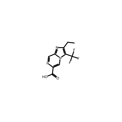 CCc1nc2cnc(C(=O)O)cn2c1C(F)(F)F